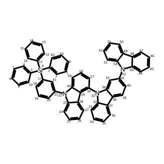 c1ccc([Si](c2ccccc2)(c2ccccc2)c2cccc(-n3c4ccccc4c4c(-n5c6ccccc6c6ccc(-n7c8ccccc8c8ccccc87)cc65)cccc43)c2)cc1